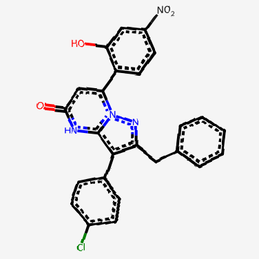 O=c1cc(-c2ccc([N+](=O)[O-])cc2O)n2nc(Cc3ccccc3)c(-c3ccc(Cl)cc3)c2[nH]1